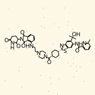 Cc1cccc(C(=O)Nc2cc3sc([C@H]4CC[C@H](C(=O)N5CCN(CCNc6cccc7c6C(=O)N(C6CCC(=O)NC6=O)C7=O)CC5)CC4)nc3cc2C(C)(C)O)n1